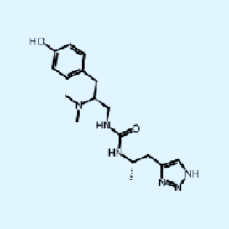 C[C@@H](Cc1c[nH]nn1)NC(=O)NC[C@H](Cc1ccc(O)cc1)N(C)C